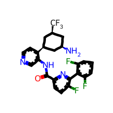 N[C@H]1C[C@@H](c2ccncc2NC(=O)c2ccc(F)c(-c3c(F)cccc3F)n2)C[C@@H](C(F)(F)F)C1